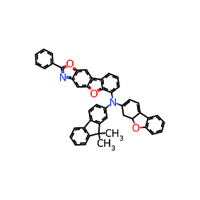 CC1(C)c2ccccc2-c2ccc(N(C3=CC=C4c5ccccc5OC4C3)c3cccc4c3oc3cc5nc(-c6ccccc6)oc5cc34)cc21